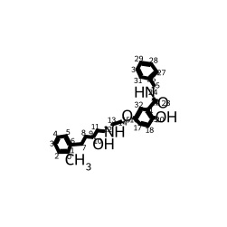 Cc1ccccc1CCC(O)CNCCOc1ccc(O)c(C(=O)NCc2ccccc2)c1